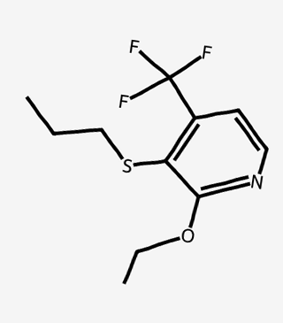 CCCSc1c(C(F)(F)F)ccnc1OCC